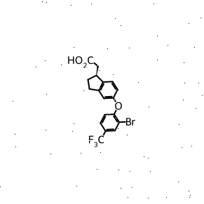 O=C(O)C[C@@H]1CCc2cc(Oc3ccc(C(F)(F)F)cc3Br)ccc21